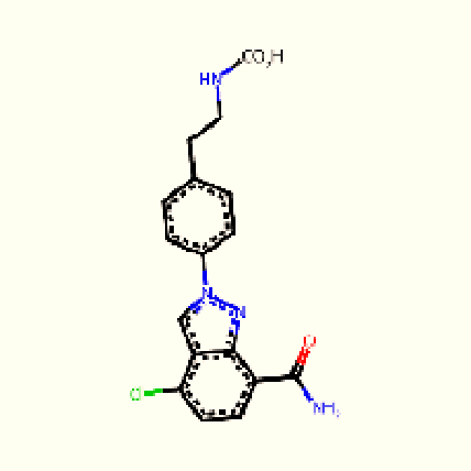 NC(=O)c1ccc(Cl)c2cn(-c3ccc(CCNC(=O)O)cc3)nc12